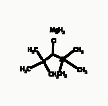 C[Si](C)(C)C(Cl)[Si](C)(C)C.[MgH2]